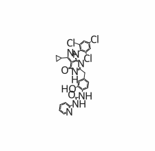 O=C(Nc1ccccn1)Nc1ccc(Cc2nc3c(c(C4CC4)nn3-c3c(Cl)cc(Cl)cc3Cl)c(=O)[nH]2)cc1O